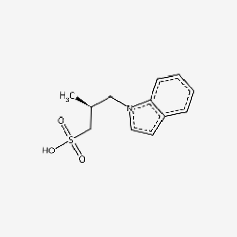 C[C@@H](Cn1ccc2ccccc21)CS(=O)(=O)O